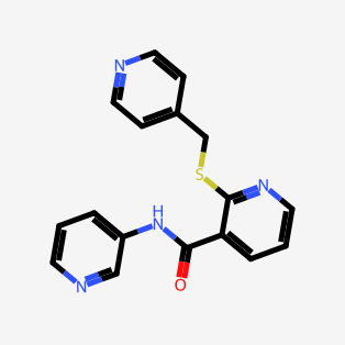 O=C(Nc1cccnc1)c1cccnc1SCc1ccncc1